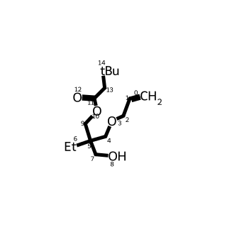 C=CCOCC(CC)(CO)COC(=O)CC(C)(C)C